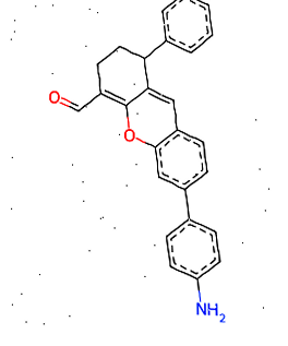 Nc1ccc(-c2ccc3c(c2)OC2=C(C=O)CCC(c4ccccc4)C2=C3)cc1